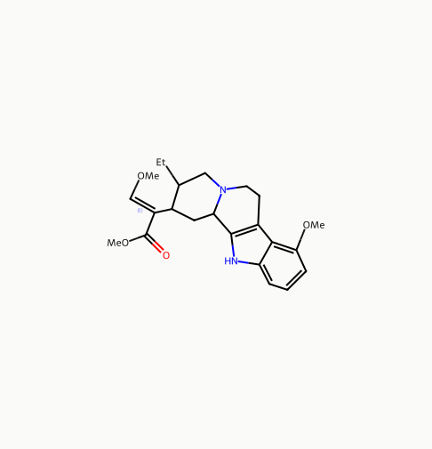 CCC1CN2CCc3c([nH]c4cccc(OC)c34)C2CC1/C(=C\OC)C(=O)OC